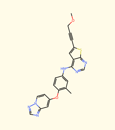 COCC#Cc1cc2c(Nc3ccc(Oc4ccn5ncnc5c4)c(C)c3)ncnc2s1